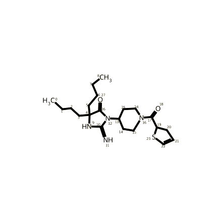 CCCCC1(CCCC)NC(=N)N(C2CCN(C(=O)C3CC=CS3)CC2)C1=O